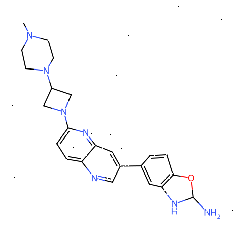 CN1CCN(C2CN(c3ccc4ncc(-c5ccc6c(c5)NC(N)O6)cc4n3)C2)CC1